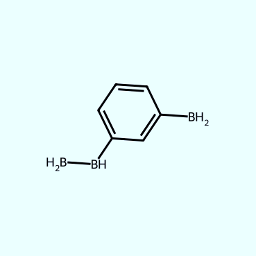 BBc1cccc(B)c1